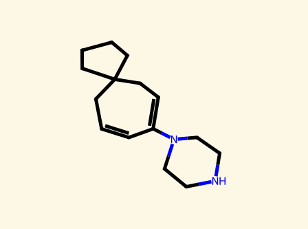 C1=CC(N2CCNCC2)=CCC2(C1)CCCC2